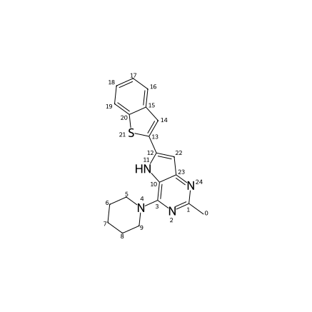 Cc1nc(N2CCCCC2)c2[nH]c(-c3cc4ccccc4s3)cc2n1